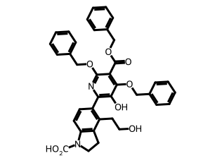 O=C(OCc1ccccc1)c1c(OCc2ccccc2)nc(-c2ccc3c(c2CCO)CCN3C(=O)O)c(O)c1OCc1ccccc1